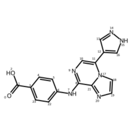 O=C(O)c1ccc(Nc2ncc(-c3cn[nH]c3)n3ccnc23)cc1